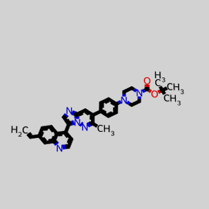 C=Cc1ccc2c(-c3cnc4cc(-c5ccc(N6CCN(C(=O)OC(C)(C)C)CC6)cc5)c(C)nn34)ccnc2c1